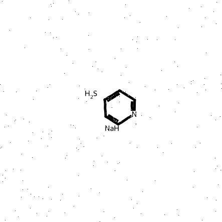 S.[NaH].c1ccncc1